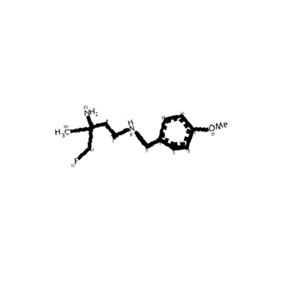 COc1ccc(CNCCC(C)(N)CF)cc1